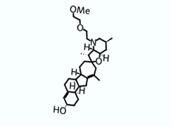 COCCOCCN1C[C@@H](C)C[C@H]2OC3(CC[C@@H]4C(=C(C)C3)C[C@H]3[C@H]4CCC4=C[C@@H](O)CC[C@@]43C)[C@H](C)[C@@H]21